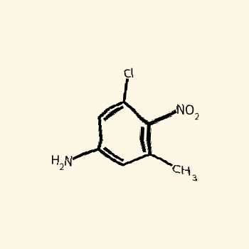 Cc1cc(N)cc(Cl)c1[N+](=O)[O-]